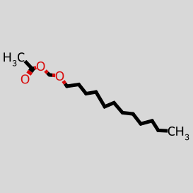 CCCCCCCCCCCCOCOC(C)=O